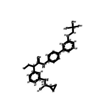 CCC(C(=O)Nc1ccc(-c2cncc(OCC(F)(F)F)n2)cc1)c1ccnc(N[S+]([O-])C2CC2)n1